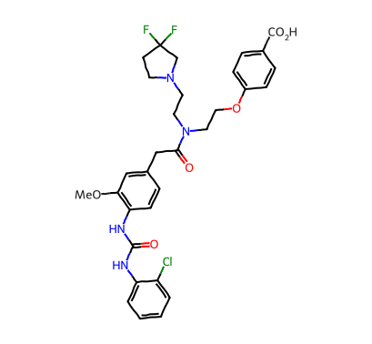 COc1cc(CC(=O)N(CCOc2ccc(C(=O)O)cc2)CCN2CCC(F)(F)C2)ccc1NC(=O)Nc1ccccc1Cl